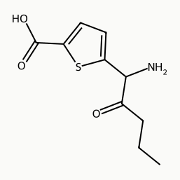 CCCC(=O)C(N)c1ccc(C(=O)O)s1